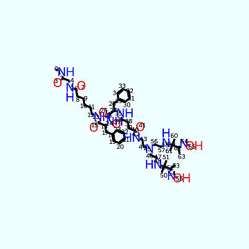 CNC(=O)CNC(=O)CCCCCNC(=O)C(Cc1ccccc1)NC(=O)C(Cc1ccccc1)NC(=O)CCC(=O)NCCN(CCNC(C)(C)/C(C)=N/O)CCNC(C)(C)/C(C)=N/O